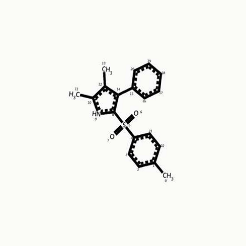 Cc1ccc(S(=O)(=O)c2[nH]c(C)c(C)c2-c2ccccc2)cc1